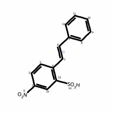 O=[N+]([O-])c1ccc(/C=C/c2ccccc2)c(S(=O)(=O)O)c1